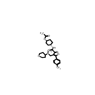 CN(Cc1c(C(=O)N[C@H]2CC[C@H](OC(=O)C(F)(F)F)CC2)noc1-c1ccc(C(F)(F)F)cc1)C1CCOCC1